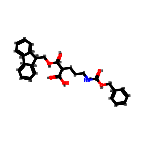 O=C(NCCCC(C(=O)O)C(=O)OCC1c2ccccc2-c2ccccc21)OCc1ccccc1